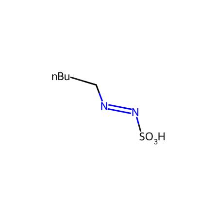 CCCCCN=NS(=O)(=O)O